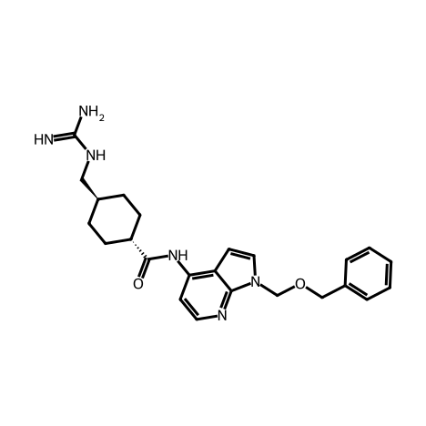 N=C(N)NC[C@H]1CC[C@H](C(=O)Nc2ccnc3c2ccn3COCc2ccccc2)CC1